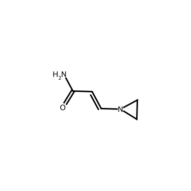 NC(=O)C=CN1CC1